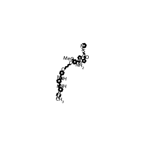 COc1cc(C(=O)N2CCC[C@H]2C2CCCC2C(=O)OCCSSc2ccccn2)c(N)cc1OCCCCCOc1ccc(-c2nc3ccc(-c4nc5cc(N6CCN(C)CC6)ccc5[nH]4)cc3[nH]2)cc1